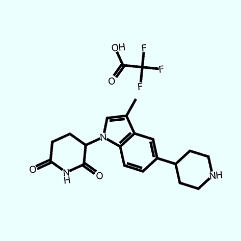 Cc1cn(C2CCC(=O)NC2=O)c2ccc(C3CCNCC3)cc12.O=C(O)C(F)(F)F